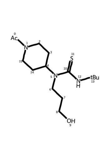 CC(=O)N1CCC(N(CCCO)C(=S)NC(C)(C)C)CC1